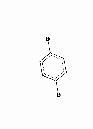 [B]c1ccc([B])cc1